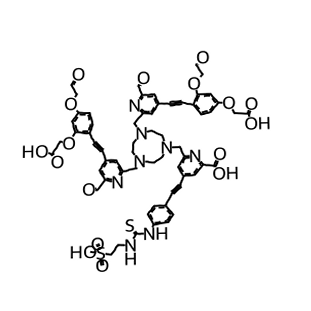 O=CCOc1ccc(C#Cc2cc(C=O)nc(CN3CCN(Cc4cc(C#Cc5ccc(OCC(=O)O)cc5OCC=O)cc(C=O)n4)CCN(Cc4cc(C#Cc5ccc(NC(=S)NCCS(=O)(=O)O)cc5)cc(C(=O)O)n4)CC3)c2)c(OCC(=O)O)c1